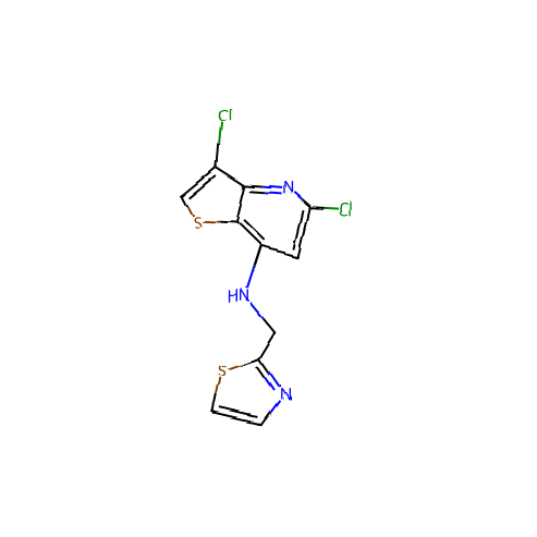 Clc1cc(NCc2nccs2)c2scc(Cl)c2n1